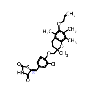 C=CCOc1c(C)c(C)c2c(c1C)CCC(C)(COc1ccc(/C=C3\SC(=O)NC3=O)cc1Cl)O2